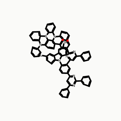 CC(C)(C)c1ccc2c(c1)c1cc(C(C)(C)C)ccc1n2-c1ccc(-c2cc(-c3ccccc3)nc(-c3ccccc3)n2)cc1-c1cc(-c2ccccc2)nc(-c2cccc(-c3ccc4c5c3N(c3ccccc3)c3ccccc3B5c3ccccc3N4c3ccccc3)c2)n1